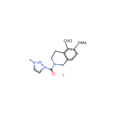 COc1ccc2c(c1C=O)CCN(C(=O)n1cc[n+](C)n1)C2.[I-]